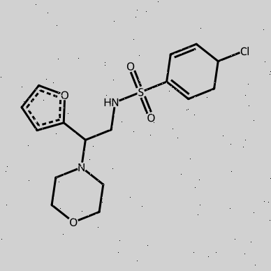 O=S(=O)(NCC(c1ccco1)N1CCOCC1)C1=CCC(Cl)C=C1